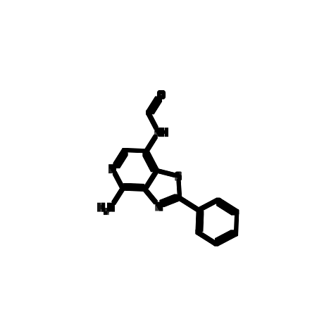 Nc1ncc(NC=O)c2sc(-c3ccccc3)nc12